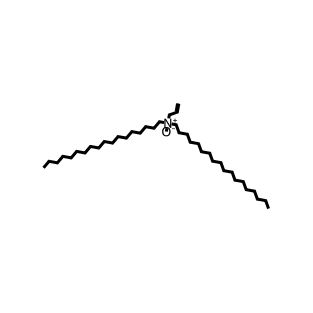 C=CC[N+]([O-])(CCCCCCCCCCCCCCCCCC)CCCCCCCCCCCCCCCCCC